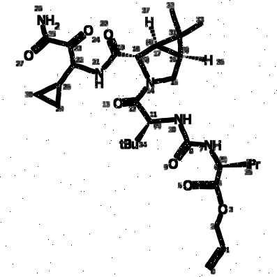 C=CCOC(=O)[C@@H](NC(=O)N[C@H](C(=O)N1C[C@H]2[C@@H]([C@H]1C(=O)NC(C(=O)C(N)=O)C1CC1)C2(C)C)C(C)(C)C)C(C)C